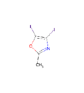 Cc1nc(I)c(I)o1